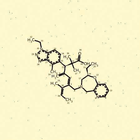 C=C(/C=C(CN1Cc2ncccc2O[C@H](CC)C1)\C(C)=C/C)[C@@H](c1ccc2c(nnn2CC)c1C)C(C)(C)C(=O)O